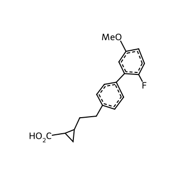 COc1ccc(F)c(-c2ccc(CCC3CC3C(=O)O)cc2)c1